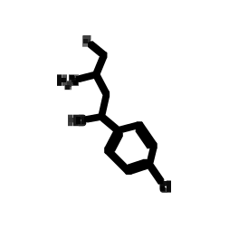 NC(CF)CC(O)c1ccc(Cl)cc1